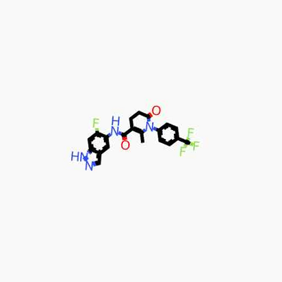 CC1=C(C(=O)Nc2cc3cn[nH]c3cc2F)CCC(=O)N1c1ccc(C(F)(F)F)cc1